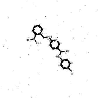 OB(O)c1ccccc1CNc1ccc(C(O)Nc2ccc(F)cc2)cn1